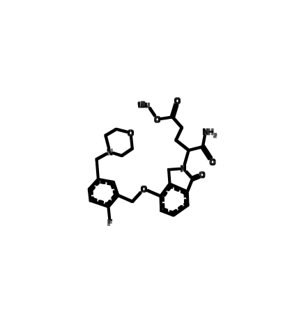 CC(C)(C)OC(=O)CCC(C(N)=O)N1Cc2c(OCc3cc(CN4CCOCC4)ccc3F)cccc2C1=O